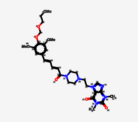 COCCOCOc1c(OC)cc(/C=C/C=C/C(=O)N2CCN(CCn3cnc4c3c(=O)n(C)c(=O)n4C)CC2)cc1OC